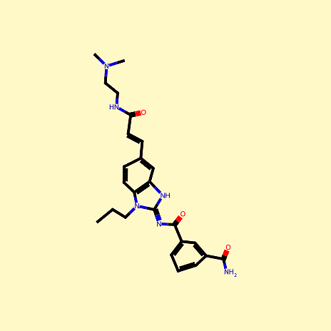 CCCn1/c(=N/C(=O)c2cccc(C(N)=O)c2)[nH]c2cc(/C=C/C(=O)NCCN(C)C)ccc21